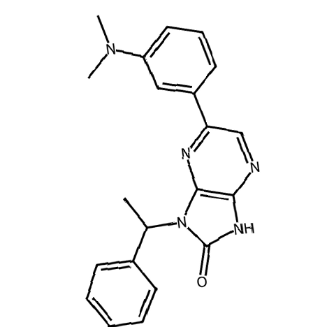 CC(c1ccccc1)n1c(=O)[nH]c2ncc(-c3cccc(N(C)C)c3)nc21